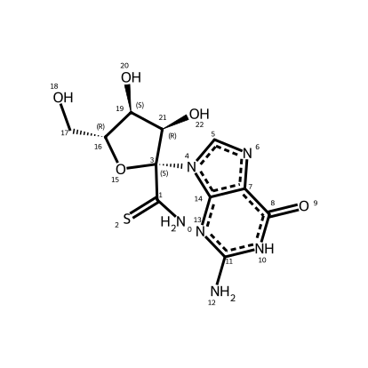 NC(=S)[C@@]1(n2cnc3c(=O)[nH]c(N)nc32)O[C@H](CO)[C@@H](O)[C@H]1O